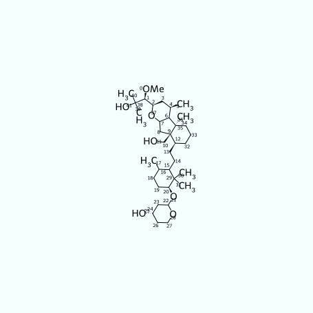 CO[C@@H]([C@H]1C[C@@H](C)C2C(C[C@@]3(CO)[C@H](CCC4C(C)CC[C@H](OC5C[C@@H](O)CCO5)C4(C)C)CCC[C@]23C)O1)C(C)(C)O